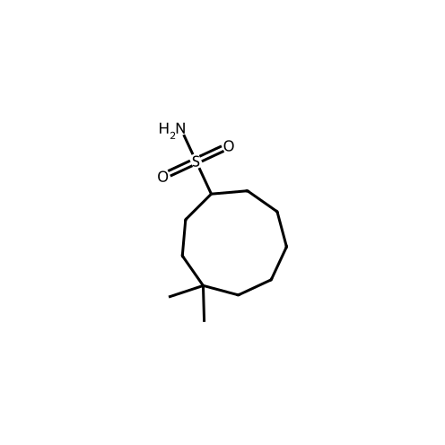 CC1(C)CCCCCC(S(N)(=O)=O)CC1